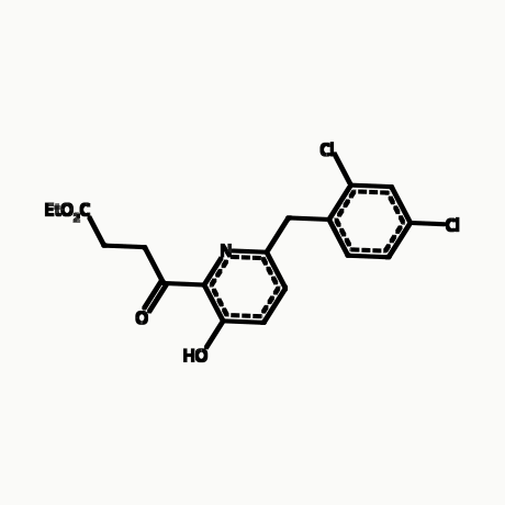 CCOC(=O)CCC(=O)c1nc(Cc2ccc(Cl)cc2Cl)ccc1O